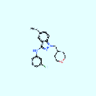 COc1ccc2c(c1)c(Nc1cccc(Cl)c1)nn2CC1CCOCC1